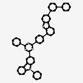 c1ccc(-c2cccc(-c3ccc4sc5c(-c6ccc(-c7nc(-c8ccccc8)nc(-c8ccc9c(c8)c8ccccc8n9-c8ccccc8)n7)cc6)cccc5c4c3)c2)cc1